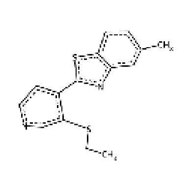 CCSc1cnccc1-c1nc2cc(C)ccc2s1